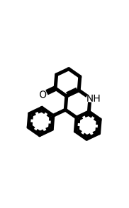 O=C1CCCC2=C1C(c1ccccc1)c1ccccc1N2